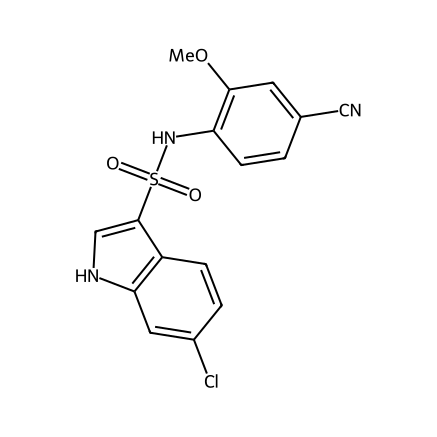 COc1cc(C#N)ccc1NS(=O)(=O)c1c[nH]c2cc(Cl)ccc12